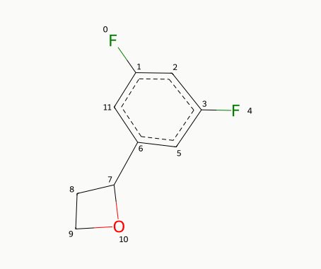 Fc1cc(F)cc(C2CCO2)c1